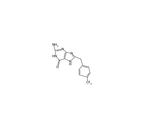 Nc1nc2nc(Cc3ccc(C(F)(F)F)cc3)[nH]c2c(=O)[nH]1